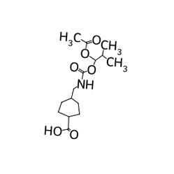 CC(=O)OC(OC(=O)NCC1CCC(C(=O)O)CC1)C(C)C